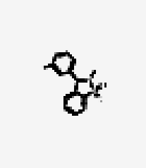 CN1C(c2cccc(F)c2)c2ccccc2S1(=O)=O